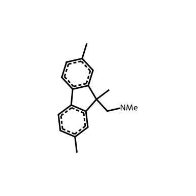 CNCC1(C)c2cc(C)ccc2-c2ccc(C)cc21